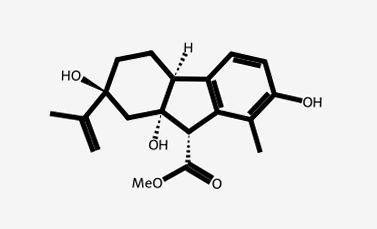 C=C(C)[C@]1(O)CC[C@H]2c3ccc(O)c(C)c3[C@H](C(=O)OC)[C@@]2(O)C1